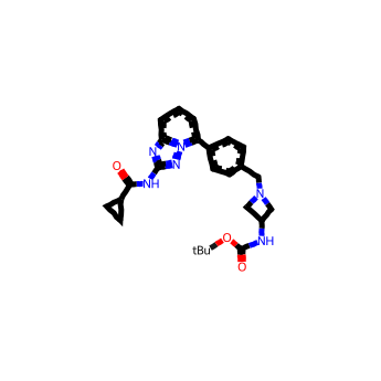 CC(C)(C)OC(=O)NC1CN(Cc2ccc(-c3cccc4nc(NC(=O)C5CC5)nn34)cc2)C1